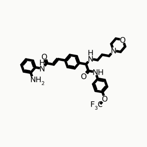 Nc1ccccc1NC(=O)/C=C/c1ccc(C(NCCCN2CCOCC2)C(=O)Nc2ccc(OC(F)(F)F)cc2)cc1